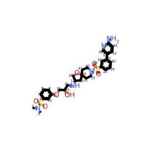 CN(C)S(=O)(=O)c1cccc(OCC(O)CNC2COC3(CCN(S(=O)(=O)c4cccc(-c5ccc(N)nc5)c4)CC3)C2)c1